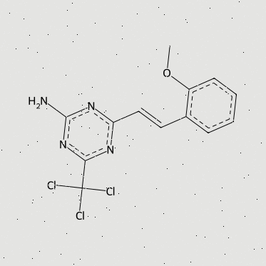 COc1ccccc1C=Cc1nc(N)nc(C(Cl)(Cl)Cl)n1